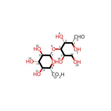 O=C[C@H](O)[C@@H](O)[C@H](O[C@@H]1O[C@H](C(=O)O)[C@@H](O)[C@H](O)[C@H]1O)[C@H](O)CO